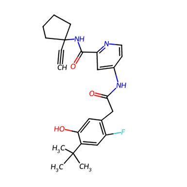 C#CC1(NC(=O)c2cc(NC(=O)Cc3cc(O)c(C(C)(C)C)cc3F)ccn2)CCCC1